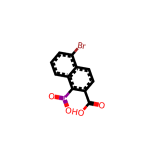 O=C(O)c1ccc2c(Br)cccc2c1I(=O)=O